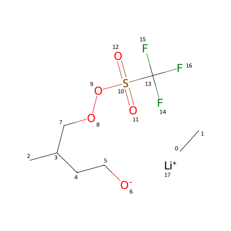 CC.CC(CC[O-])COOS(=O)(=O)C(F)(F)F.[Li+]